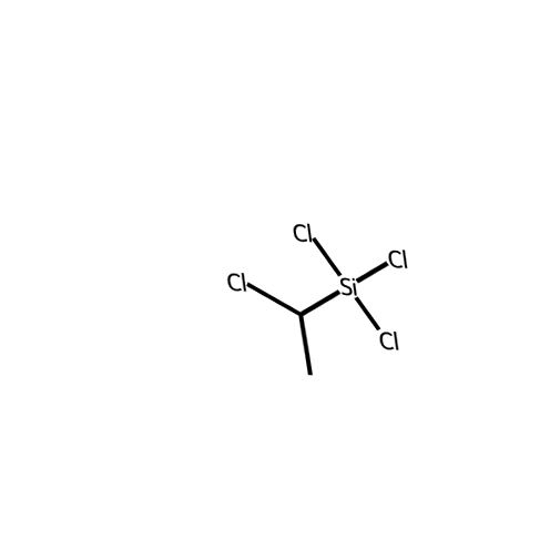 CC(Cl)[Si](Cl)(Cl)Cl